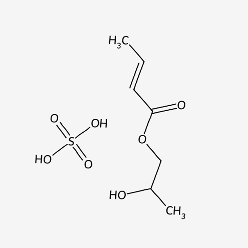 CC=CC(=O)OCC(C)O.O=S(=O)(O)O